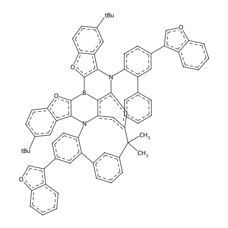 CC(C)(C)c1ccc2oc3c(c2c1)N(c1ccc(-c2coc4ccccc24)cc1-c1ccccc1)c1cc2cc4c1B3c1oc3ccc(C(C)(C)C)cc3c1N4c1ccc(-c3coc4ccccc34)cc1-c1cccc(c1)C2(C)C